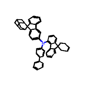 c1ccc(-c2ccc(N(c3ccc4c(c3)-c3ccccc3C43C4CC5CC(C4)CC3C5)c3cccc4c3-c3ccccc3C43CCCCC3)cc2)cc1